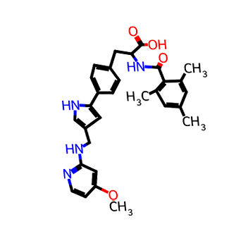 COc1ccnc(NCc2c[nH]c(-c3ccc(CC(NC(=O)c4c(C)cc(C)cc4C)C(=O)O)cc3)c2)c1